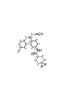 C#CCN(Cc1ccc(F)cc1)c1ccc(NC(=O)C2CCC(F)(F)CC2)cc1